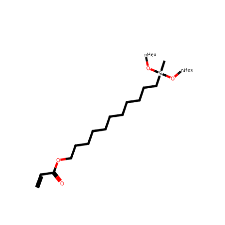 C=CC(=O)OCCCCCCCCCCC[Si](C)(OCCCCCC)OCCCCCC